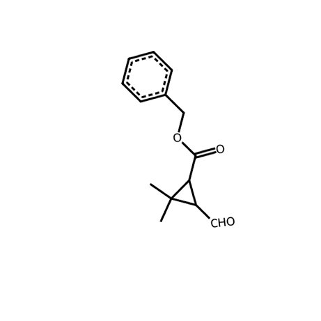 CC1(C)C(C=O)C1C(=O)OCc1ccccc1